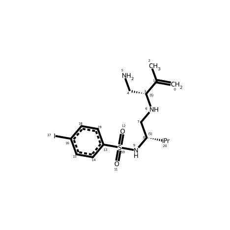 C=C(C)[C@@H](CN)NC[C@@H](NS(=O)(=O)c1ccc(I)cc1)C(C)C